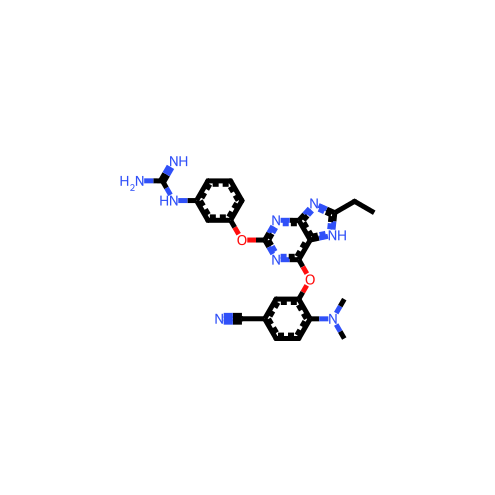 CCc1nc2nc(Oc3cccc(NC(=N)N)c3)nc(Oc3cc(C#N)ccc3N(C)C)c2[nH]1